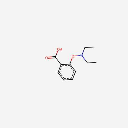 CCN(CC)Oc1ccccc1C(=O)O